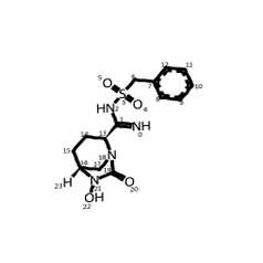 N=C(NS(=O)(=O)Cc1ccccc1)[C@@H]1CC[C@@H]2CN1C(=O)N2O